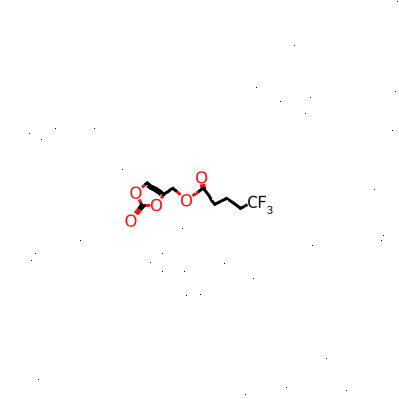 O=C(CCCC(F)(F)F)OCc1coc(=O)o1